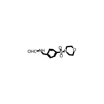 O=CNCc1ccc(S(=O)(=O)N2CCOCC2)cc1